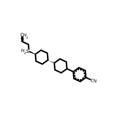 C=CC[SiH2][C@H]1CC[C@H](C2CCC(c3ccc(C#N)cc3)CC2)CC1